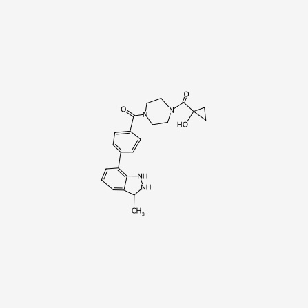 CC1NNc2c(-c3ccc(C(=O)N4CCN(C(=O)C5(O)CC5)CC4)cc3)cccc21